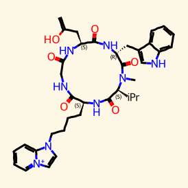 C=C(O)C[C@@H]1NC(=O)CNC(=O)[C@H](CCCCn2cc[n+]3ccccc23)NC(=O)[C@H](C(C)C)N(C)C(=O)[C@@H](Cc2c[nH]c3ccccc23)NC1=O